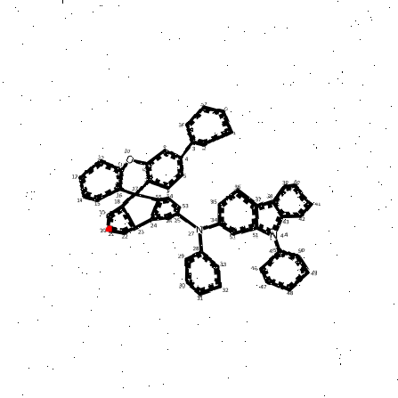 c1ccc(-c2ccc3c(c2)Oc2ccccc2C32c3ccccc3-c3cc(N(c4ccccc4)c4ccc5c6ccccc6n(-c6ccccc6)c5c4)ccc32)cc1